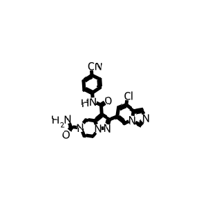 N#Cc1ccc(NC(=O)c2c(-c3cc(Cl)c4cncn4c3)nn3c2CN(C(N)=O)CC3)cc1